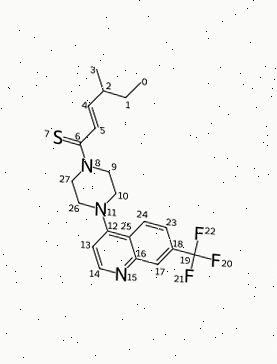 CCC(C)C=CC(=S)N1CCN(c2ccnc3cc(C(F)(F)F)ccc23)CC1